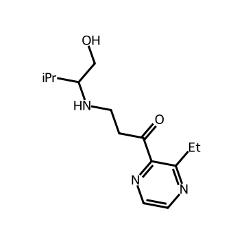 CCc1nccnc1C(=O)CCNC(CO)C(C)C